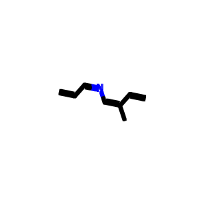 C=C/C=N\C=C(\C)C=C